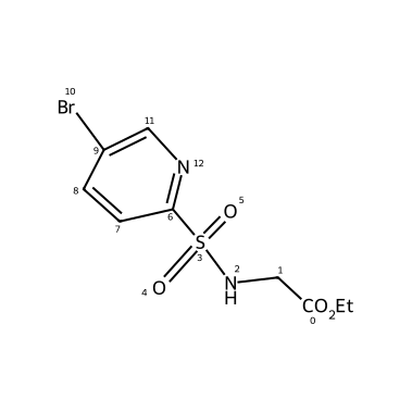 CCOC(=O)CNS(=O)(=O)c1ccc(Br)cn1